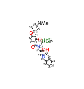 CNC1CCC(Oc2ccc3c(c2)OCCN(C[C@H](O)CN2CCc4ccccc4C2)C3=O)CC1.Cl.Cl